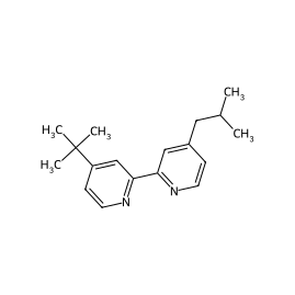 CC(C)Cc1ccnc(-c2cc(C(C)(C)C)ccn2)c1